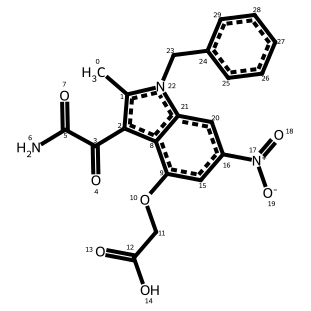 Cc1c(C(=O)C(N)=O)c2c(OCC(=O)O)cc([N+](=O)[O-])cc2n1Cc1ccccc1